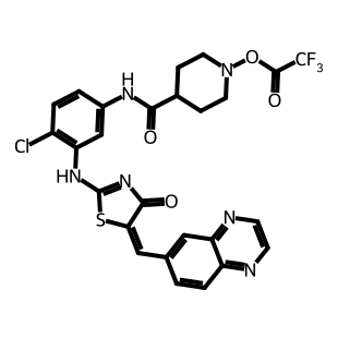 O=C1N=C(Nc2cc(NC(=O)C3CCN(OC(=O)C(F)(F)F)CC3)ccc2Cl)SC1=Cc1ccc2nccnc2c1